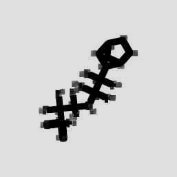 O=S(=O)(F)C(F)(F)C(F)(F)OC(F)(F)C(F)(F)C1CC2CCC1C2